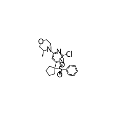 C[C@H]1COCCN1c1cc(C2(S(=O)(=O)c3ccccc3)CCCC2)nc(Cl)n1